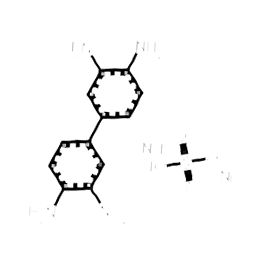 N.Nc1ccc(-c2ccc(N)c(N)c2)cc1N.O=S(=O)(O)O.[Ni]